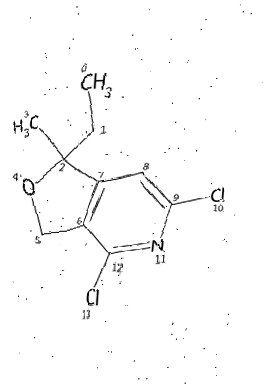 CCC1(C)OCc2c1cc(Cl)nc2Cl